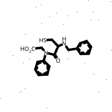 O=C(O)CN(C(=O)C(CS)NCc1ccccc1)c1ccccc1